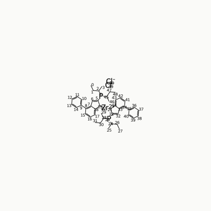 CCC(C)P(C1=Cc2c(-c3ccccc3)cccc2[CH]1[Zr+2][CH]1C(P(C(C)CC)C(C)CC)=Cc2c(-c3ccccc3)cccc21)C(C)CC.[Cl-].[Cl-]